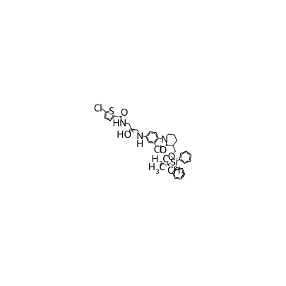 CC(C)(C)[Si](OCC1CCCN(c2ccc(NC[C@@H](O)CNC(=O)c3ccc(Cl)s3)cc2Cl)C1=O)(c1ccccc1)c1ccccc1